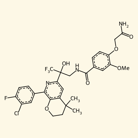 COc1cc(C(=O)NCC(O)(c2cc3c(c(-c4ccc(F)c(Cl)c4)n2)OCCC3(C)C)C(F)(F)F)ccc1OCC(N)=O